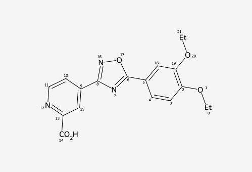 CCOc1ccc(-c2nc(-c3ccnc(C(=O)O)c3)no2)cc1OCC